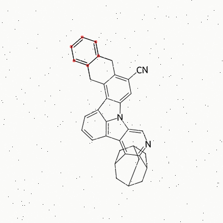 N#Cc1cc2c(c3c1C1c4ccccc4C3c3ccccc31)c1cccc3c4c5c(ncc4n2c31)C1CC2CC(C1)CC5C2